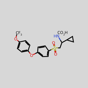 O=C(O)NC(CS(=O)(=O)c1ccc(Oc2ccc(OC(F)(F)F)cc2)cc1)C1CC1